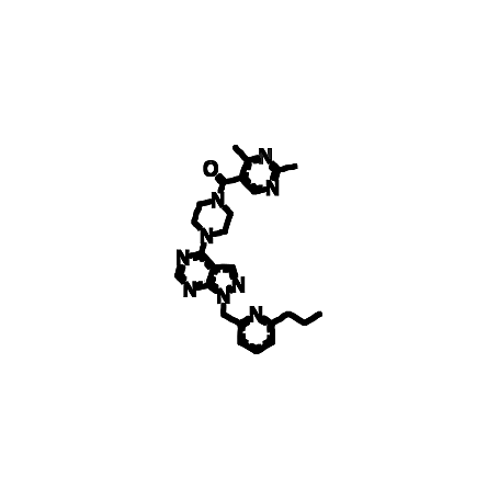 CCCc1cccc(Cn2ncc3c(N4CCN(C(=O)c5cnc(C)nc5C)CC4)ncnc32)n1